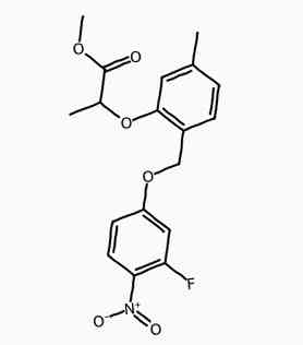 COC(=O)C(C)Oc1cc(C)ccc1COc1ccc([N+](=O)[O-])c(F)c1